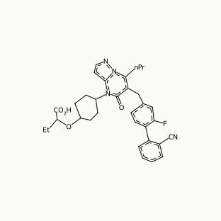 CCCc1c(Cc2ccc(-c3ccccc3C#N)c(F)c2)c(=O)n(C2CCC(OC(CC)C(=O)O)CC2)c2ccnn12